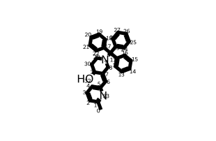 Cc1cccc(/C=C2/CN(C(c3ccccc3)(c3ccccc3)c3ccccc3)CCC2O)n1